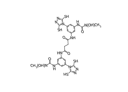 CN(O)C(=O)Nc1cc(NC(=O)CCC(=O)Nc2cc(NC(=O)N(C)O)cc(-n3c(S)nnc3S)c2)cc(-n2c(S)nnc2S)c1